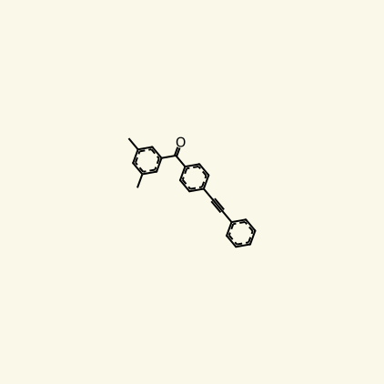 Cc1cc(C)cc(C(=O)c2ccc(C#Cc3ccccc3)cc2)c1